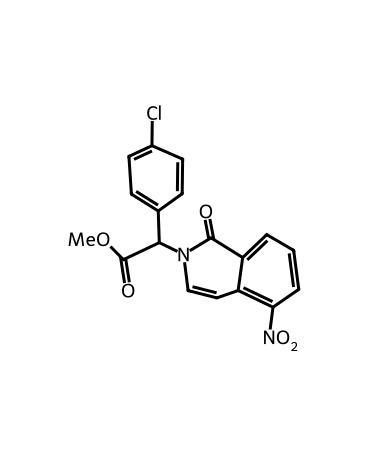 COC(=O)C(c1ccc(Cl)cc1)n1ccc2c([N+](=O)[O-])cccc2c1=O